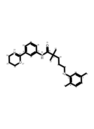 Cc1ccc(C)c(OCCCC(C)(C)C(=O)Nc2cccc(C3=NCCCO3)c2)c1